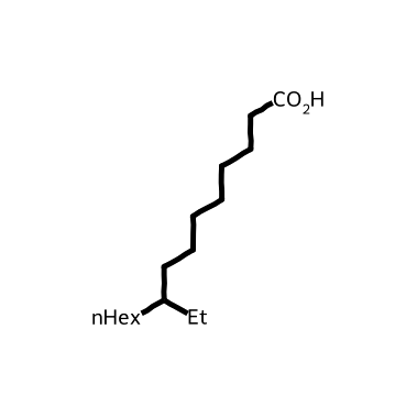 CCCCCCC(CC)CCCCCCCC(=O)O